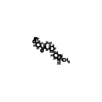 Cc1nc2cc(-c3ccc4c(c3)CN(C(=O)c3ccc(OC(C)C)cc3)CCC4)ccc2[nH]1